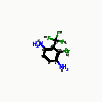 Nc1ccc(N)c(C(F)(F)F)c1Br